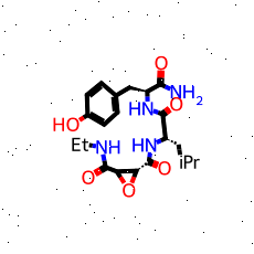 CCNC(=O)C1O[C@H]1C(=O)N[C@@H](CC(C)C)C(=O)N[C@@H](Cc1ccc(O)cc1)C(N)=O